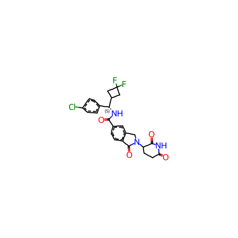 O=C1CCC(N2Cc3cc(C(=O)N[C@H](c4ccc(Cl)cc4)C4CC(F)(F)C4)ccc3C2=O)C(=O)N1